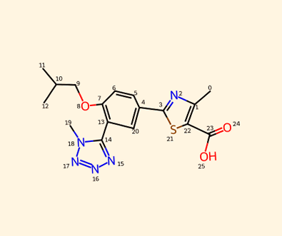 Cc1nc(-c2ccc(OCC(C)C)c(-c3nnnn3C)c2)sc1C(=O)O